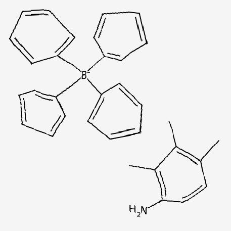 Cc1ccc(N)c(C)c1C.c1ccc([B-](c2ccccc2)(c2ccccc2)c2ccccc2)cc1